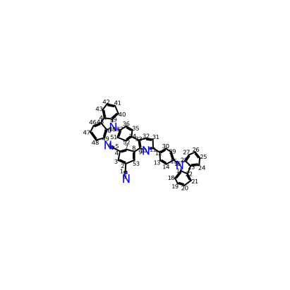 N#Cc1cc(C#N)cc(-c2nc(-c3ccc(-n4c5ccccc5c5ccccc54)cc3)ccc2-c2ccc(-n3c4ccccc4c4ccccc43)cc2)c1